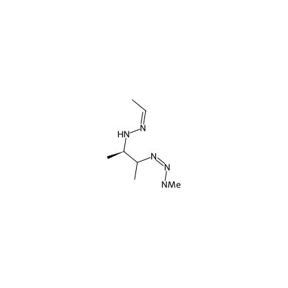 C/C=N\N[C@H](C)C(C)/N=N\NC